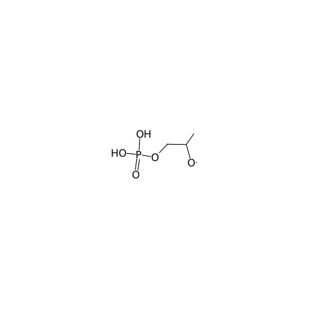 CC([O])COP(=O)(O)O